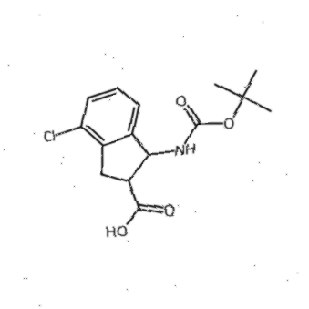 CC(C)(C)OC(=O)NC1c2cccc(Cl)c2CC1C(=O)O